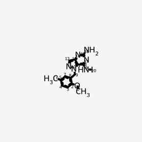 COc1ccc(C)cc1Cn1ncc2nc(N)nc(NI)c21